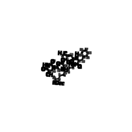 CCCCCCCCCCCCCCCCCCNC(=O)C(Cc1ccccc1)NC(=O)CC(C)C(=O)O[C@H]1CNC[C@H](n2cc(C)c(=O)[nH]c2=O)O1